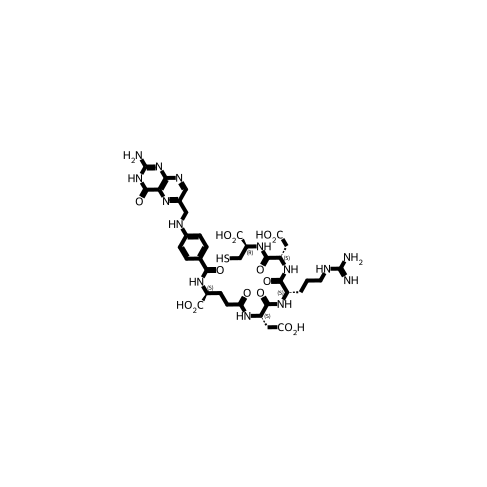 N=C(N)NCCC[C@H](NC(=O)[C@H](CC(=O)O)NC(=O)CC[C@H](NC(=O)c1ccc(NCc2cnc3nc(N)[nH]c(=O)c3n2)cc1)C(=O)O)C(=O)N[C@@H](CC(=O)O)C(=O)N[C@@H](CS)C(=O)O